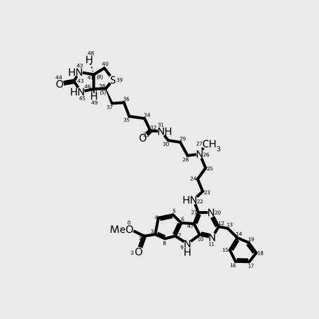 COC(=O)c1ccc2c(c1)[nH]c1nc(Cc3ccccc3)nc(NCCCN(C)CCCNC(=O)CCCC[C@@H]3SC[C@@H]4NC(=O)N[C@@H]43)c12